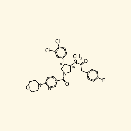 CN(C(=O)Cc1ccc(F)cc1)[C@H]1CN(C(=O)c2ccc(N3CCOCC3)nc2)C[C@@H]1c1ccc(Cl)c(Cl)c1